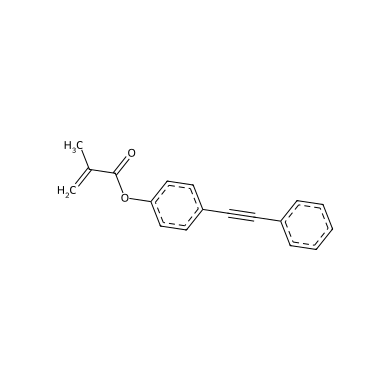 C=C(C)C(=O)Oc1ccc(C#Cc2ccccc2)cc1